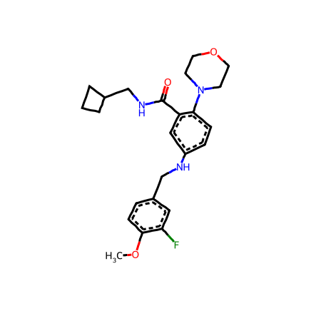 COc1ccc(CNc2ccc(N3CCOCC3)c(C(=O)NCC3CCC3)c2)cc1F